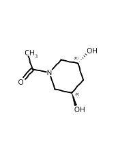 CC(=O)N1C[C@H](O)C[C@@H](O)C1